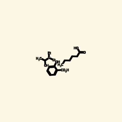 CCCCCC(=O)O.CCN(CC)C(C)O.O=C(O)c1ccccc1O